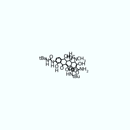 CC1c2ccc(NC(=O)NC(C)(C)C)c(O)c2C(=O)C2=C(O)C3(OC(=O)NC(C)(C)C)C(=O)C(C(N)=O)=C(O)C(N(C)C)C3C(O)C21